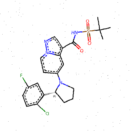 CC(C)(C)S(=O)(=O)NC(=O)c1cnn2ccc(N3CCC[C@@H]3c3cc(F)ccc3Cl)cc12